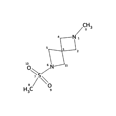 CN1CC2(C1)CN(S(C)(=O)=O)C2